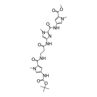 COC(=O)c1cc(NC(=O)c2nc(NC(=O)CCNC(=O)c3cc(NC(=O)OC(C)(C)C)cn3C)cn2C)cn1C